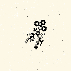 CC(C)[C@H](NC(=O)OC(C)(C)C)C(=O)O[C@@H]1[C@H](O)[C@@H](COC(c2ccccc2)(c2ccccc2)c2ccccc2)N(C(C)(C)C)[C@H]1c1c[nH]c2c(N=[N+]=[N-])ncnc12